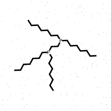 CCCCCCCP(CCCCCCC)CCP(CCCCCCC)CCCCCCC